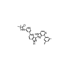 Cc1cc(F)cc(-c2nccc3[nH]c(-c4n[nH]c5ccc(-c6cncc(NC(=O)C(C)(C)C)c6)nc45)nc23)c1